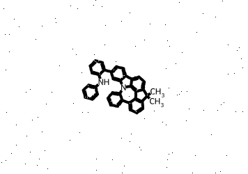 CC1(C)c2cccc3c2-c2c1ccc1c4ccc(-c5ccccc5Nc5ccccc5)cc4n(c21)-c1ccccc1-3